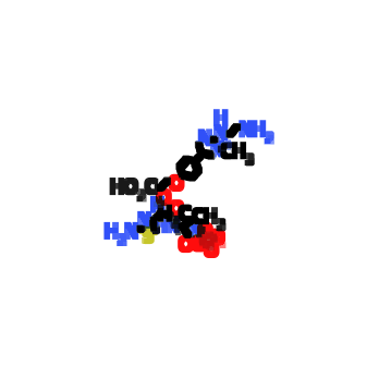 C[n+]1cc(-c2ccc(OCC(O/N=C(\C(=O)N[C@@H]3C(=O)N(OS(=O)(=O)[O-])C3(C)C)c3csc(N)n3)C(=O)O)cc2)cnc1NCCN